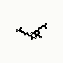 CC(CCCOCC=C(Cl)Cl)Oc1c(Cl)cc(OCC=C(Cl)Cl)cc1Cl